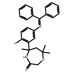 CC1(C)CC(C)(c2cc(N=C(c3ccccc3)c3ccccc3)ccc2F)NC(=S)CO1